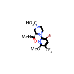 CNC(=O)[C@@H]1CN(C(=O)O)CCN1c1nc(OC)c(C(F)(F)F)cc1Br